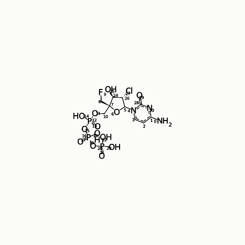 Nc1ccn(C2O[C@](CF)(COP(=O)(O)OP(=O)(O)OP(=O)(O)O)[C@@H](O)[C@@H]2Cl)c(=O)n1